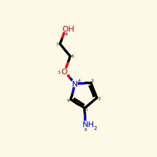 Nc1ccn(OCCO)c1